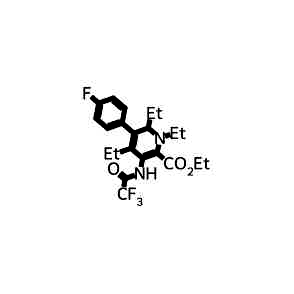 CCOC(=O)C1=C(NC(=O)C(F)(F)F)C(CC)=C(c2ccc(F)cc2)C(CC)N1CC